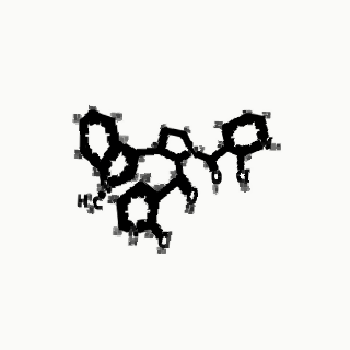 Cn1cc(C2CCN(C(=O)c3cccnc3Cl)C2C(=O)c2cccnc2Cl)c2ccccc21